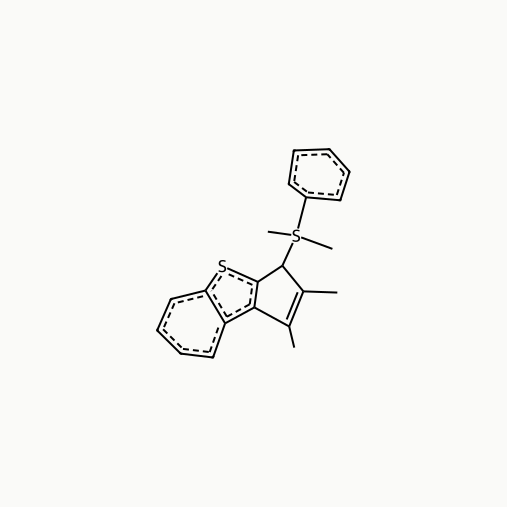 CC1=C(C)C(S(C)(C)c2ccccc2)c2sc3ccccc3c21